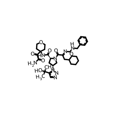 CC(C)(O)c1cnnn1[C@H]1C[C@@H](C(=O)NC2(C(=O)C(N)=O)CCOCC2)N(C(=O)/C(CC2CCCCC2)=N/C(=O)NCc2ccccc2)C1